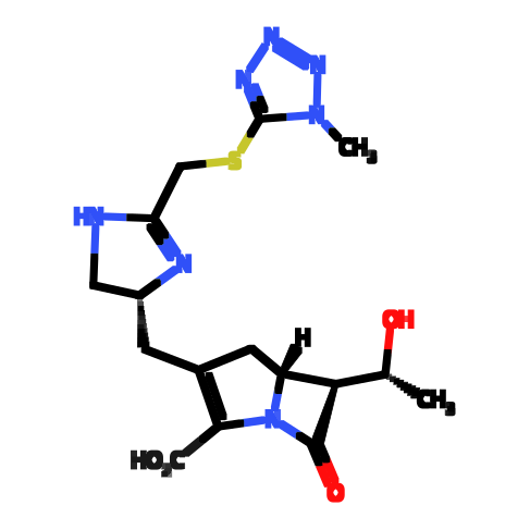 C[C@@H](O)[C@H]1C(=O)N2C(C(=O)O)=C(C[C@@H]3CNC(CSc4nnnn4C)=N3)C[C@H]12